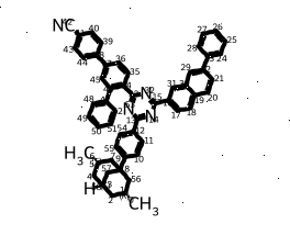 C[C@@H]1C[C@@H]2C[C@H](C)CC(c3ccc(-c4nc(-c5ccc6ccc(-c7ccccc7)cc6c5)nc(-c5ccc(-c6ccc(C#N)cc6)cc5-c5ccccc5)n4)cc3)(C1)C2